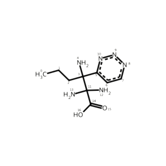 CCCC(N)(c1ccnnn1)C(N)(N)C(=O)O